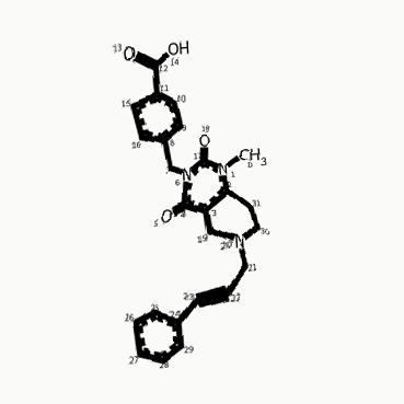 Cn1c2c(c(=O)n(Cc3ccc(C(=O)O)cc3)c1=O)CN(CC#Cc1ccccc1)CC2